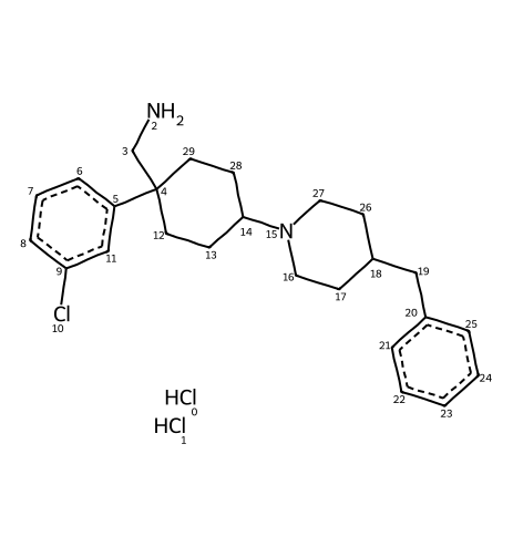 Cl.Cl.NCC1(c2cccc(Cl)c2)CCC(N2CCC(Cc3ccccc3)CC2)CC1